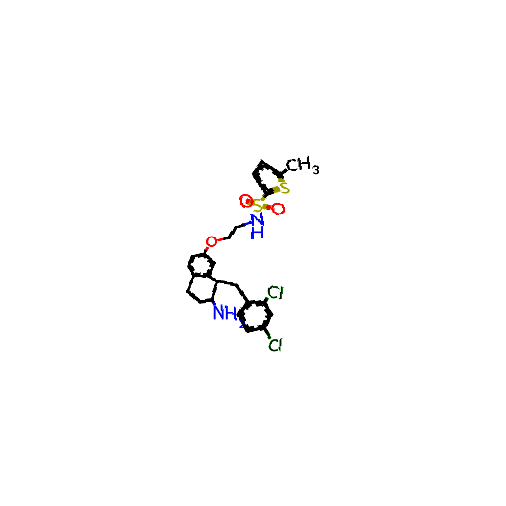 Cc1ccc(S(=O)(=O)NCCOc2ccc3c(c2)C(Cc2ccc(Cl)cc2Cl)C(N)CC3)s1